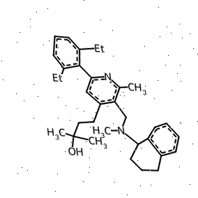 CCc1cccc(CC)c1-c1cc(CCC(C)(C)O)c(CN(C)C2CCCc3ccccc32)c(C)n1